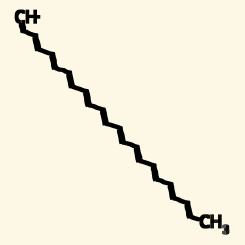 [CH]=C/C=C/C=C/C=C/C=C/C=C/C=C/C=C/C=C/C=C/C=C/C